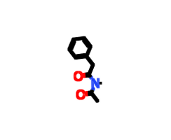 CC(=O)[N]C(=O)Cc1ccccc1